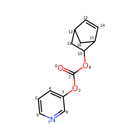 O=C(Oc1cccnc1)OC1CC2C=CC1C2